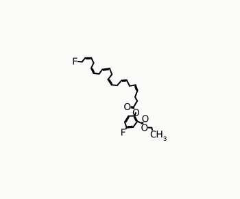 CCOC(=O)c1cc(F)ccc1OC(=O)CC/C=C\C/C=C\C/C=C\C/C=C\C/C=C\C/C=C\CF